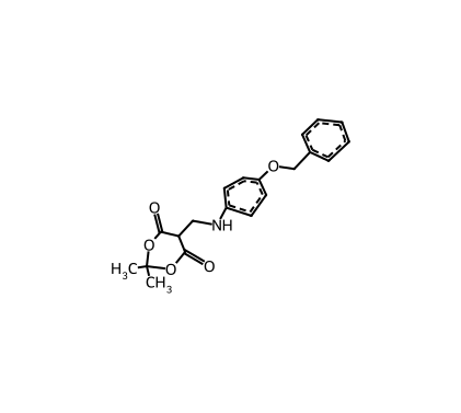 CC1(C)OC(=O)C(CNc2ccc(OCc3ccccc3)cc2)C(=O)O1